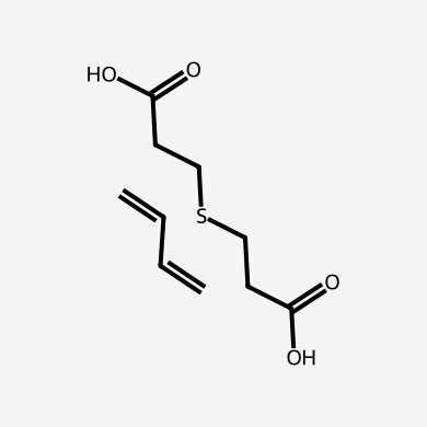 C=CC=C.O=C(O)CCSCCC(=O)O